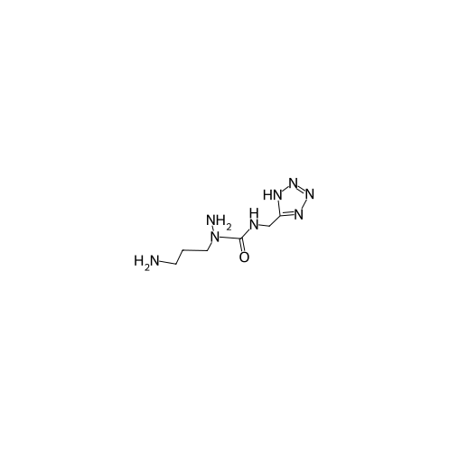 NCCCN(N)C(=O)NCc1nnn[nH]1